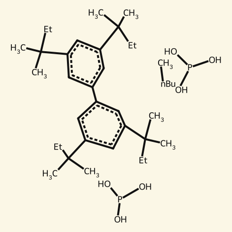 CCC(C)(C)c1cc(-c2cc(C(C)(C)CC)cc(C(C)(C)CC)c2)cc(C(C)(C)CC)c1.CCCCC.OP(O)O.OP(O)O